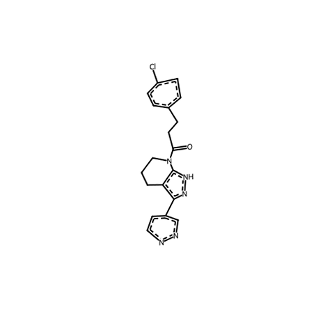 O=C(CCc1ccc(Cl)cc1)N1CCCc2c(-c3ccnnc3)n[nH]c21